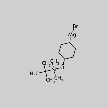 CC(C)(C)[Si](C)(C)O[C@H]1CC[C@H]([Mg][Br])CC1